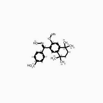 CCCOc1cc2c(cc1C(=NO)c1ccc(C(=O)O)cc1)C(C)(C)CCC2(C)C